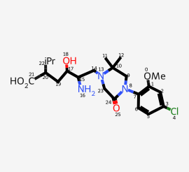 COc1cc(Cl)ccc1N1CC(C)(C)N(CC(N)C(O)CC(C(=O)O)C(C)C)CC1=O